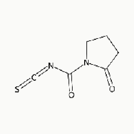 O=C1CCCN1C(=O)N=C=S